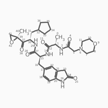 C[C@H](NC(=O)CN1CCOCC1)C(=O)N[C@@H](Cc1ccc2c(c1)CC(=O)N2)C(=O)N[C@@H](CC1CCCC1)C(=O)[C@]1(C)CO1